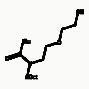 CCCCCCCCN(CCOCCO)C(=O)C(C)(C)C